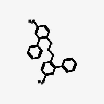 Cc1ccc(SOSc2ccc(C)cc2-c2ccccc2)c(-c2ccccc2)c1